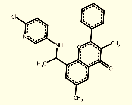 Cc1cc(C(C)Nc2ccc(Cl)nc2)c2oc(-c3ccccc3)c(C)c(=O)c2c1